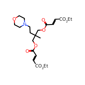 CCOC(=O)/C=C/C(=O)OCC(C)(CCN1CCOCC1)COC(=O)/C=C/C(=O)OCC